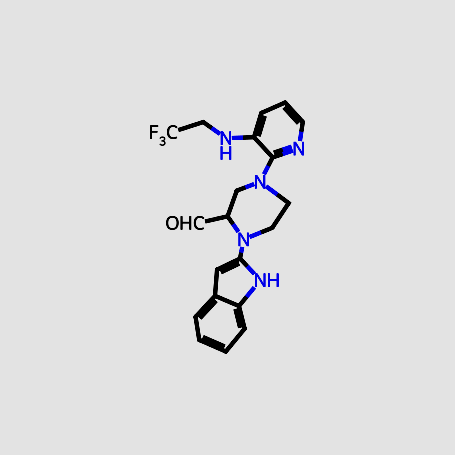 O=CC1CN(c2ncccc2NCC(F)(F)F)CCN1c1cc2ccccc2[nH]1